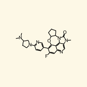 CN(C)C1CCN(c2ccc(-c3c(F)cc4ncc5c6c4c3OC3CCCC3n6c(=O)n5C)cn2)C1